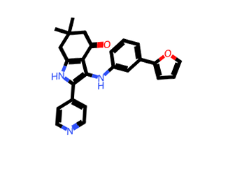 CC1(C)CC(=O)c2c([nH]c(-c3ccncc3)c2Nc2cccc(-c3ccco3)c2)C1